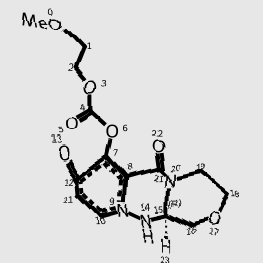 COCCOC(=O)Oc1c2n(ccc1=O)N[C@@H]1COCCN1C2=O